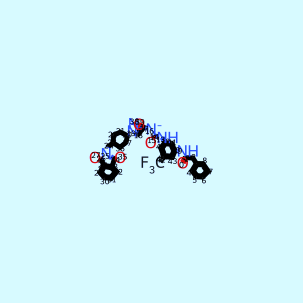 O=C(Cc1ccccc1)Nc1cc(NC(=O)[N-]c2c[n+](C3CCC(CN4C(=O)c5ccccc5C4=O)CC3)no2)cc(C(F)(F)F)c1